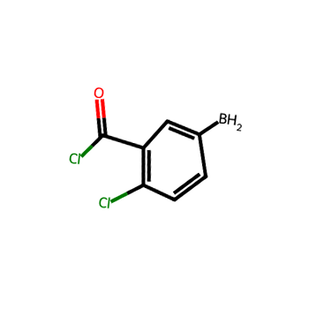 Bc1ccc(Cl)c(C(=O)Cl)c1